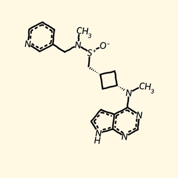 CN(Cc1cccnc1)[S+]([O-])C[C@H]1C[C@@H](N(C)c2ncnc3[nH]ccc23)C1